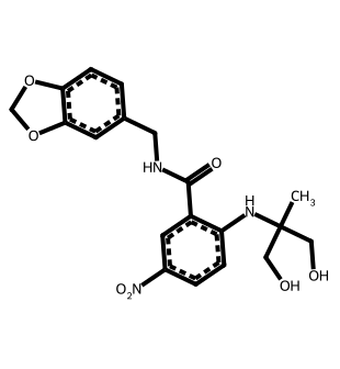 CC(CO)(CO)Nc1ccc([N+](=O)[O-])cc1C(=O)NCc1ccc2c(c1)OCO2